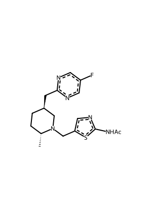 CC(=O)Nc1ncc(CN2C[C@H](Cc3ncc(F)cn3)CC[C@H]2C)s1